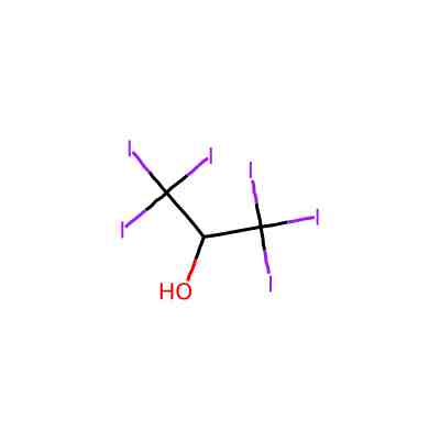 OC(C(I)(I)I)C(I)(I)I